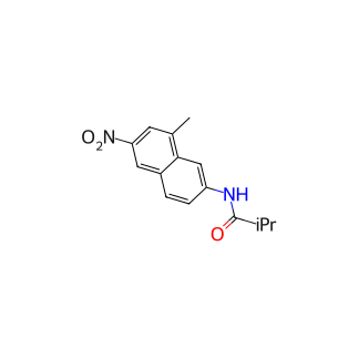 Cc1cc([N+](=O)[O-])cc2ccc(NC(=O)C(C)C)cc12